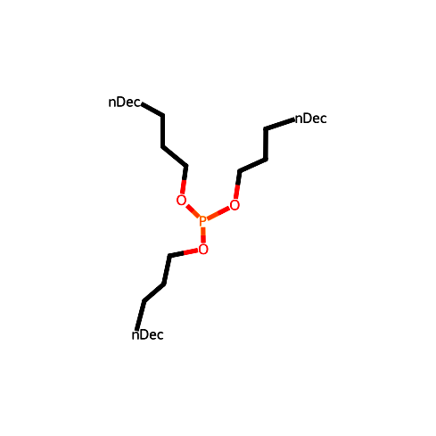 CCCCCCCCCCCCCOP(OCCCCCCCCCCCCC)OCCCCCCCCCCCCC